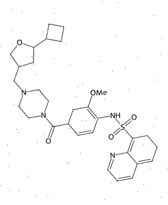 COC1=C(NS(=O)(=O)C2=c3ncccc3=CCC2)C=CC(C(=O)N2CCN(CC3COC(C4CCC4)C3)CC2)C1